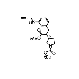 C#CCNc1cccc(CC(C(=O)OC)[C@H]2CCN(C(=O)OC(C)(C)C)C2)c1